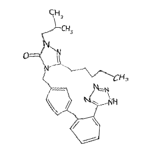 CCCCCc1nn(CC(C)C)c(=O)n1Cc1ccc(-c2ccccc2-c2nnn[nH]2)cc1